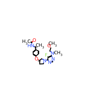 COCCN(C)c1ncnc(N2CC[C@@H](Oc3ccc([C@H](C)NC(C)=O)cc3)C2)c1F